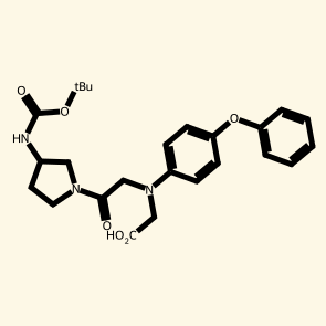 CC(C)(C)OC(=O)NC1CCN(C(=O)CN(CC(=O)O)c2ccc(Oc3ccccc3)cc2)C1